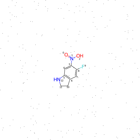 O=[N+](O)c1cc2c(cc1F)CCN2